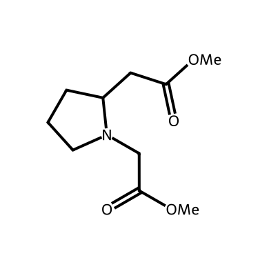 COC(=O)CC1CCCN1CC(=O)OC